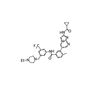 CCN1CCN(Cc2cc(NC(=O)c3ccc(C)c(-c4cnc5nc(NC(=O)C6CC6)cn5c4)c3)cc(C(F)(F)F)c2)CC1